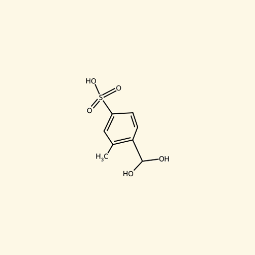 Cc1cc(S(=O)(=O)O)ccc1C(O)O